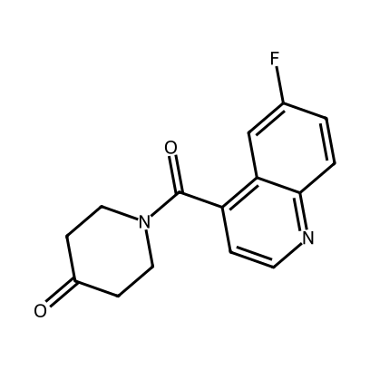 O=C1CCN(C(=O)c2ccnc3ccc(F)cc23)CC1